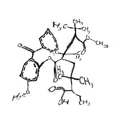 CCC(C(=O)O)C(C)(C)CC(C(=O)Oc1cc(OC)ccc1C(=O)c1ccccc1)C(C)(C)CC(C(=O)OC)C(C)(C)C